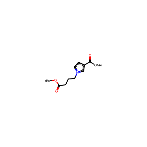 COC(=O)c1ccn(CCCC(=O)OC(C)(C)C)c1